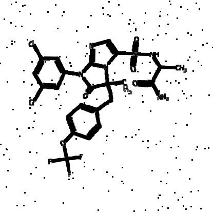 CC(NS(=O)(=O)c1cnc2n1C(C)(Cc1ccc(OC(F)(F)F)cc1)C(=O)N2c1cc(Cl)cc(Cl)c1)C(N)=O